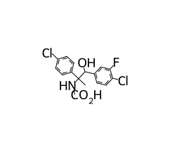 CC(NC(=O)O)(c1ccc(Cl)cc1)C(O)c1ccc(Cl)c(F)c1